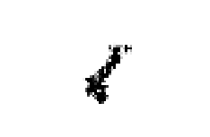 O=C(O)c1ccc2nc(N3CCC(F)(COCc4c(-c5ccccc5C(F)(F)F)noc4C4CC4)CC3)sc2c1